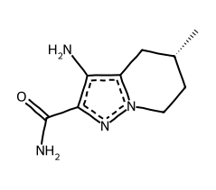 C[C@@H]1CCn2nc(C(N)=O)c(N)c2C1